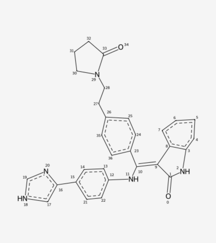 O=C1Nc2ccccc2/C1=C(/Nc1ccc(-c2c[nH]cn2)cc1)c1ccc(CCN2CCCC2=O)cc1